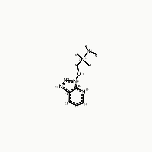 CN(C)[N+](C)(C)COn1nnc2cccnc21